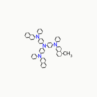 CC1CC=CC2=CC(N(c3ccccc3)c3ccc(N(c4ccc(N(c5ccccc5)c5ccc6ccccc6c5)cc4)c4ccc(N(c5ccccc5)c5ccc6ccccc6c5)cc4)cc3)=CCC21